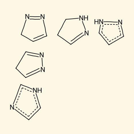 C1=CN=NC1.C1=NN=CC1.C1=NNCC1.c1c[nH]cn1.c1cn[nH]c1